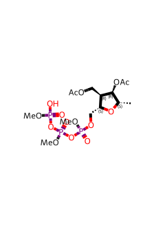 COP(=O)(O)OP(=O)(OC)OP(=O)(OC)OC[C@H]1O[C@@H](C)[C@H](OC(C)=O)[C@@H]1COC(C)=O